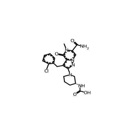 Cn1c(C(N)=O)cn2nc(N3CCC[C@@H](NC(=O)O)C3)c(Cc3ccccc3Cl)c2c1=O